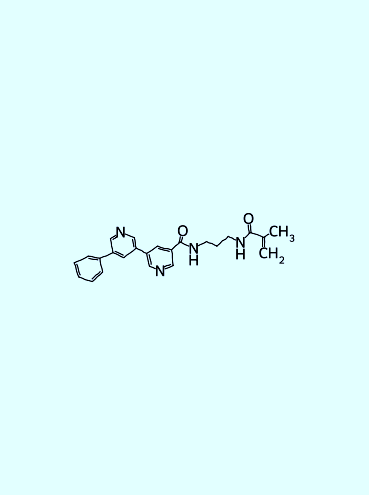 C=C(C)C(=O)NCCCNC(=O)c1cncc(-c2cncc(-c3ccccc3)c2)c1